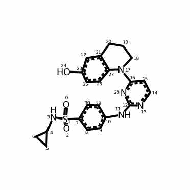 O=S(=O)(NC1CC1)c1ccc(Nc2nccc(N3CCCc4cc(O)ccc43)n2)cc1